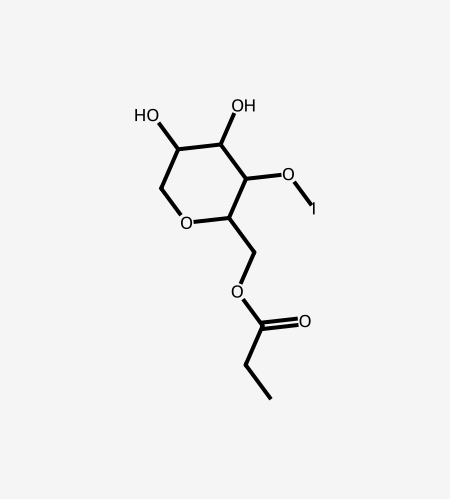 CCC(=O)OCC1OCC(O)C(O)C1OI